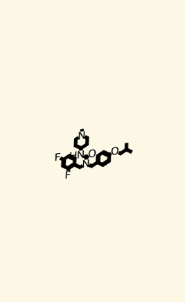 CC(C)COc1ccc(CN(Cc2ccc(F)cc2F)C(=O)NC2CCN(C)CC2)cc1